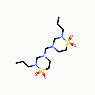 CCCN1CN(CN2CCS(=O)(=O)N(CCC)C2)CCS1(=O)=O